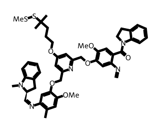 C=Nc1cc(OCc2cc(OCCCC(C)(C)SSC)cc(COc3cc(/N=C\[C@@H]4Cc5ccccc5N4C)c(C)cc3OC)n2)c(OC)cc1C(=O)N1CCc2ccccc21